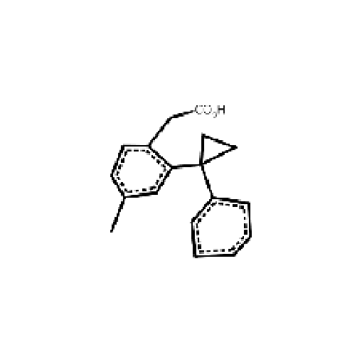 Cc1ccc(CC(=O)O)c(C2(c3ccccc3)CC2)c1